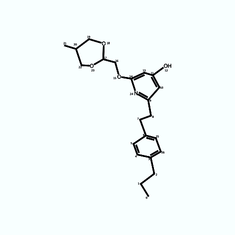 CCCc1ccc(CCc2cc(O)cc(OCC3OCC(C)CO3)n2)cc1